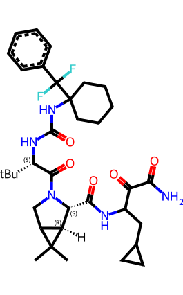 CC(C)(C)[C@H](NC(=O)NC1(C(F)(F)c2ccccc2)CCCCC1)C(=O)N1CC2[C@@H]([C@H]1C(=O)NC(CC1CC1)C(=O)C(N)=O)C2(C)C